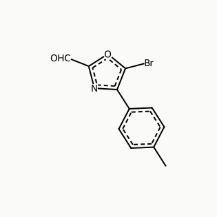 Cc1ccc(-c2nc(C=O)oc2Br)cc1